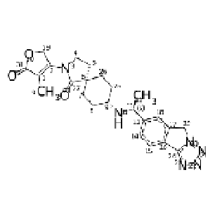 CC1=C(N2CC[C@]3(CC[C@@H](N[C@@H](C)c4ccc5c(c4)Cn4nnnc4-5)CC3)C2=O)COC1=O